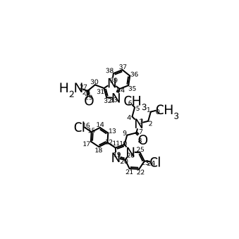 CCCN(CCC)C(=O)Cc1c(-c2ccc(Cl)cc2)nc2ccc(Cl)cn12.NC(=O)Cc1cnc2ccccn12